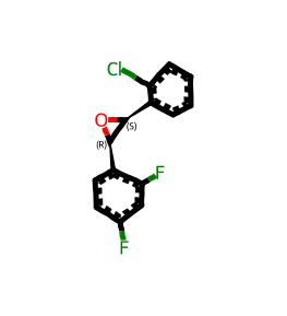 Fc1ccc([C@H]2O[C@H]2c2ccccc2Cl)c(F)c1